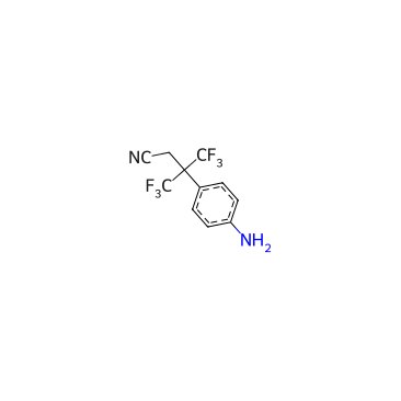 N#CCC(c1ccc(N)cc1)(C(F)(F)F)C(F)(F)F